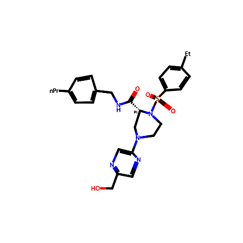 CCCc1ccc(CNC(=O)[C@H]2CN(c3cnc(CO)cn3)CCN2S(=O)(=O)c2ccc(CC)cc2)cc1